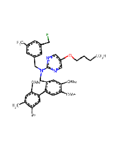 COc1cc(CN(Cc2cc(CF)cc(C(F)(F)F)c2)c2ncc(OCCCC(=O)O)cn2)c(-c2cc(C(C)C)c(C)cc2OC)cc1OC